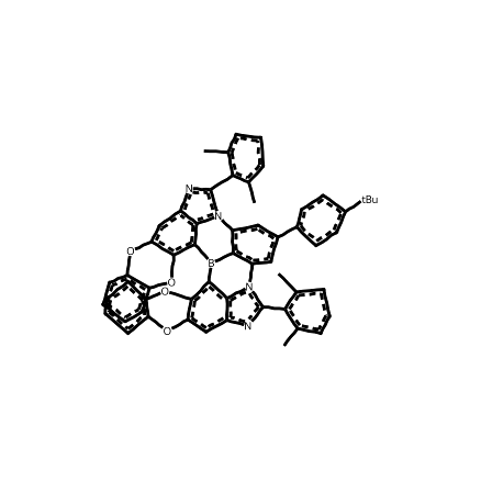 Cc1cccc(C)c1-c1nc2cc3c(c4c2n1-c1cc(-c2ccc(C(C)(C)C)cc2)cc2c1B4c1c4c(cc5nc(-c6c(C)cccc6C)n-2c15)Oc1ccccc1O4)Oc1ccccc1O3